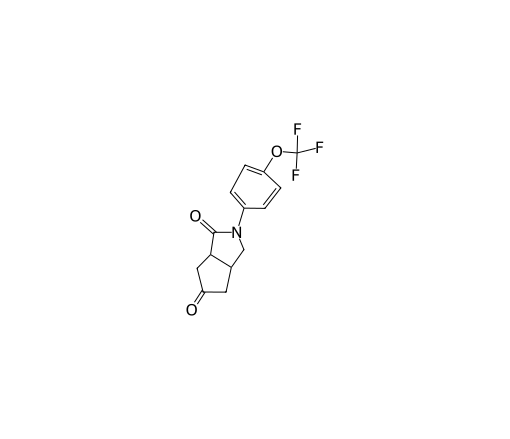 O=C1CC2CN(c3ccc(OC(F)(F)F)cc3)C(=O)C2C1